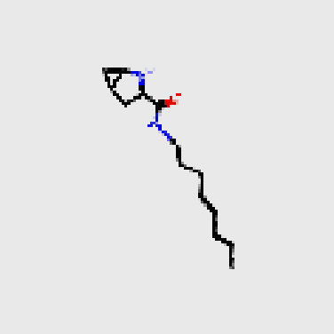 CCCCCCCCNC(=O)C1CC2CC2N1